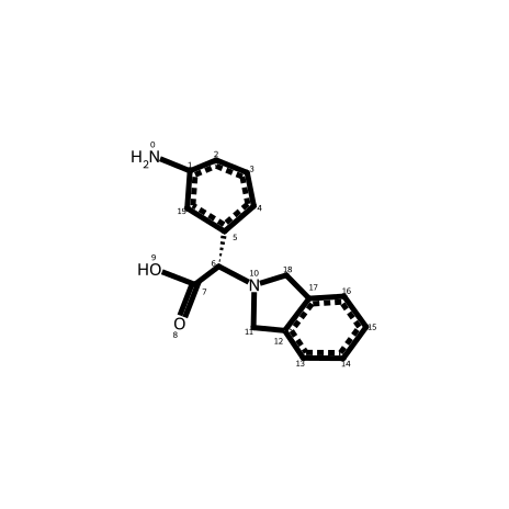 Nc1cccc([C@@H](C(=O)O)N2Cc3ccccc3C2)c1